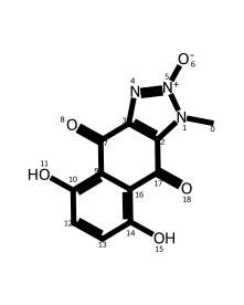 Cn1c2c(n[n+]1[O-])C(=O)c1c(O)ccc(O)c1C2=O